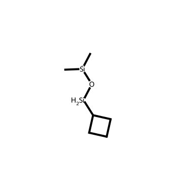 C[Si](C)O[SiH2]C1CCC1